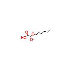 CCCCCCOC([O])C(=O)O